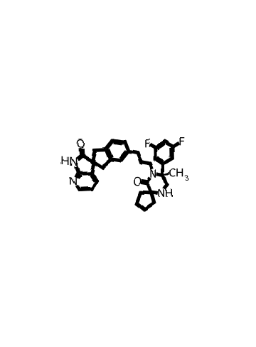 C[C@@]1(c2cc(F)cc(F)c2)CNC2(CCCC2)C(=O)N1CCCc1ccc2c(c1)CC1(C2)C(=O)Nc2ncccc21